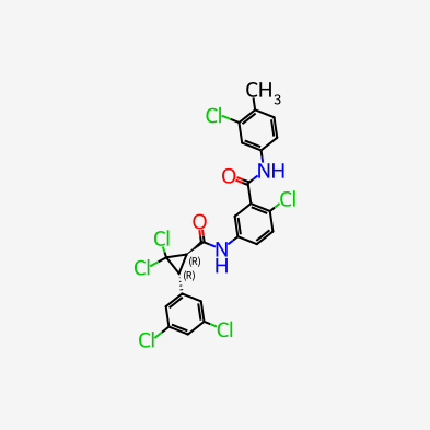 Cc1ccc(NC(=O)c2cc(NC(=O)[C@H]3[C@H](c4cc(Cl)cc(Cl)c4)C3(Cl)Cl)ccc2Cl)cc1Cl